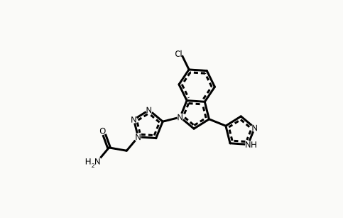 NC(=O)Cn1cc(-n2cc(-c3cn[nH]c3)c3ccc(Cl)cc32)nn1